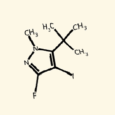 Cn1nc(F)c(I)c1C(C)(C)C